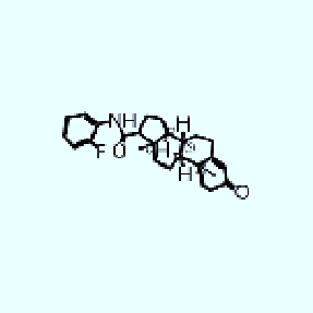 C[C@]12CCC(=O)C=C1CC[C@@H]1[C@H]2CC[C@]2(C)C(C(=O)Nc3ccccc3F)CC[C@@H]12